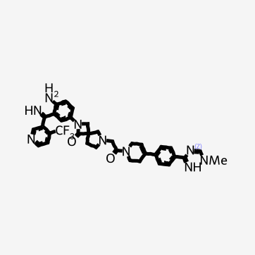 CN/C=N\C(=N)c1ccc(C2=CCN(C(=O)CN3CCC4(C3)CN(c3ccc(N)c(C(=N)c5cnccc5C(F)(F)F)c3)C4=O)CC2)cc1